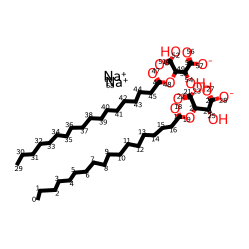 CCCCCCCCCCCCCCCCCC(=O)OC(C(=O)O)C(O)C(=O)[O-].CCCCCCCCCCCCCCCCCC(=O)OC(C(=O)O)C(O)C(=O)[O-].[Na+].[Na+]